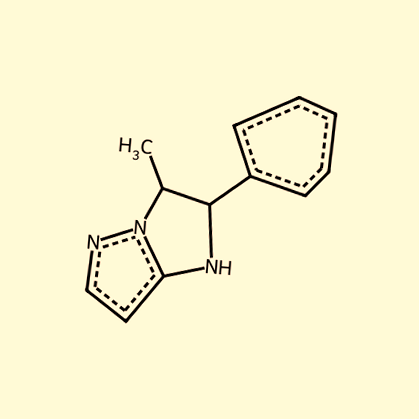 CC1C(c2ccccc2)Nc2ccnn21